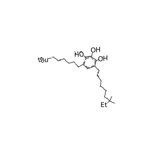 CCC(C)(C)CCCCCCc1cc(CCCCCCC(C)(C)C)c(O)c(O)c1O